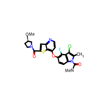 CNC(=O)n1c(C)c(Cl)c2c(F)c(Oc3ccnc4cc(C(=O)N5CC[C@@H](OC)C5)sc34)ccc21